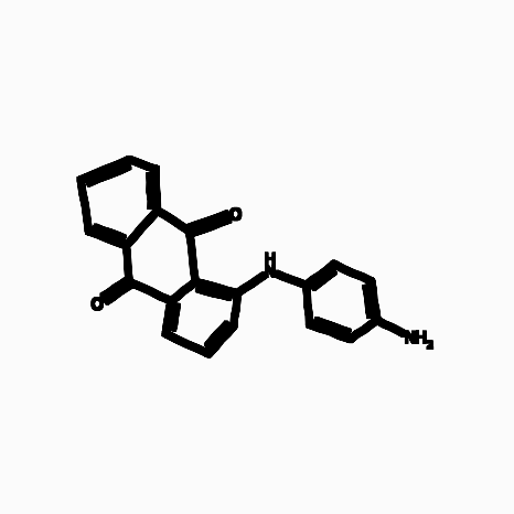 Nc1ccc(Nc2cccc3c2C(=O)c2ccccc2C3=O)cc1